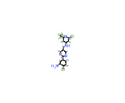 Nc1cc(-c2ncc(CNc3cc(Cl)nc(C(F)(F)F)c3)cn2)ccc1Cl